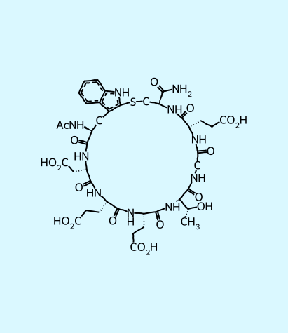 CC(=O)N[C@H]1Cc2c([nH]c3ccccc23)SC[C@@H](C(N)=O)NC(=O)[C@H](CCC(=O)O)NC(=O)CNC(=O)[C@H]([C@@H](C)O)NC(=O)[C@H](CCC(=O)O)NC(=O)[C@H](CCC(=O)O)NC(=O)[C@H](CC(=O)O)NC1=O